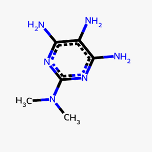 CN(C)c1nc(N)c(N)c(N)n1